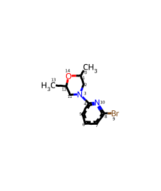 CC1CN(c2cccc(Br)n2)CC(C)O1